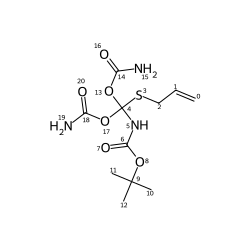 C=CCSC(NC(=O)OC(C)(C)C)(OC(N)=O)OC(N)=O